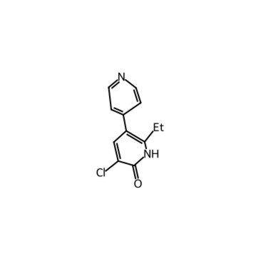 CCc1[nH]c(=O)c(Cl)cc1-c1ccncc1